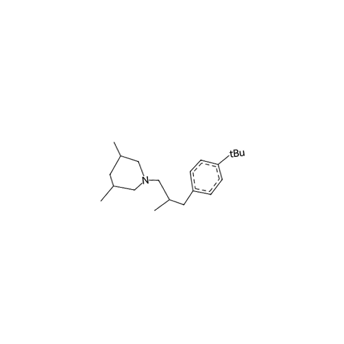 CC(Cc1ccc(C(C)(C)C)cc1)CN1CC(C)CC(C)C1